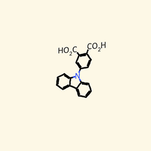 O=C(O)c1ccc(-n2c3ccccc3c3ccccc32)cc1C(=O)O